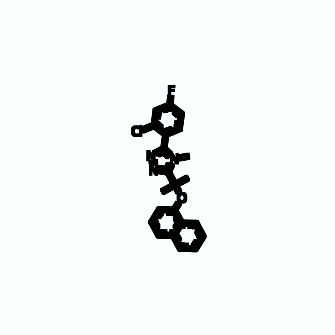 Cn1c(-c2ccc(F)cc2Cl)nnc1C(C)(C)Oc1cccc2ccccc12